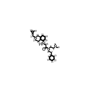 CN(C)CCN(CCc1ccccc1)C(=O)CNc1cccc2c1CCN(CC1CC1)C2